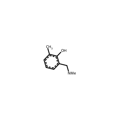 CNCc1cccc(C)c1O